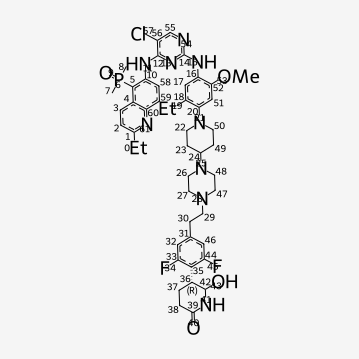 CCc1ccc2c(P(C)(C)=O)c(Nc3nc(Nc4cc(CC)c(N5CCC(N6CCN(CCc7cc(F)c([C@H]8CCC(=O)NC8O)c(F)c7)CC6)CC5)cc4OC)ncc3Cl)ccc2n1